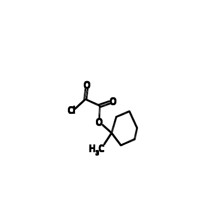 CC1(OC(=O)C(=O)Cl)CCCCC1